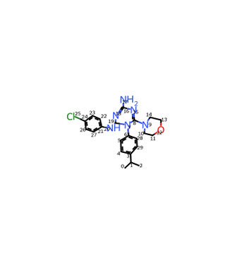 CC(C)c1ccc(N2C(N3CCOCC3)=NC(N)=NC2Nc2ccc(Cl)cc2)cc1